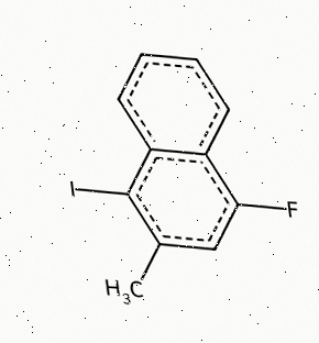 Cc1cc(F)c2ccccc2c1I